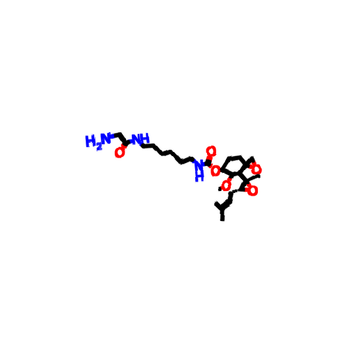 COC1C(OC(=O)NCCCCCCNC(=O)CN)CCC2(CO2)C1[C@]1(C)O[C@@H]1CC=C(C)C